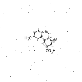 Cc1ccc2c(c1)-c1oc(C(=O)O)cc(=O)c1CS2